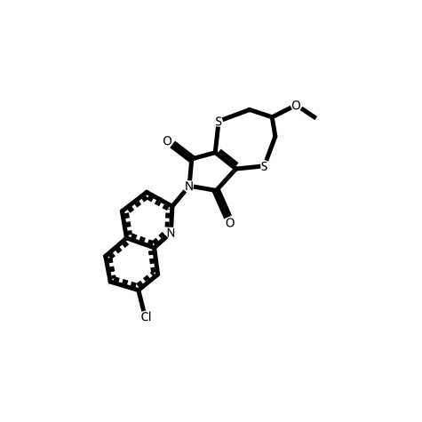 COC1CSC2=C(SC1)C(=O)N(c1ccc3ccc(Cl)cc3n1)C2=O